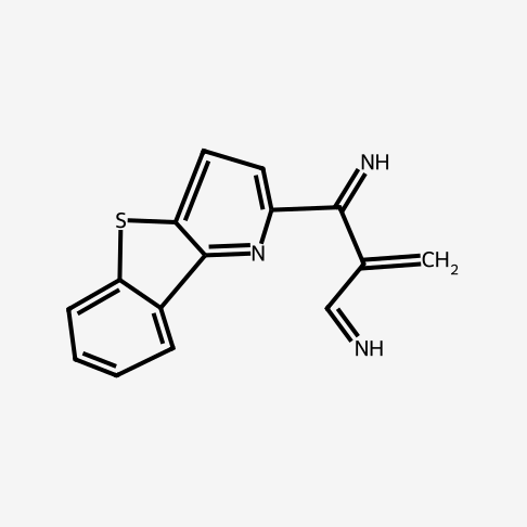 C=C(C=N)C(=N)c1ccc2sc3ccccc3c2n1